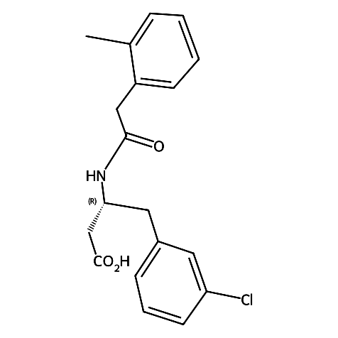 Cc1ccccc1CC(=O)N[C@@H](CC(=O)O)Cc1cccc(Cl)c1